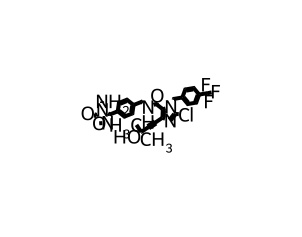 CC(C)(O)C#Cc1nc(Cl)n(Cc2ccc(C(F)(F)F)cc2)c1C(=O)NCc1ccc(-c2noc(=O)n2N)cc1